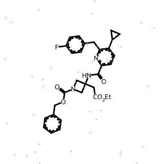 CCOC(=O)CC1(NC(=O)c2ccc(C3CC3)c(Cc3ccc(F)cc3)n2)CN(C(=O)OCc2ccccc2)C1